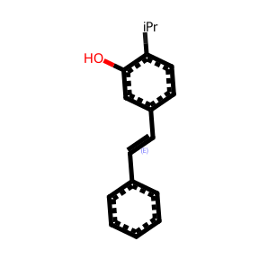 CC(C)c1ccc(/C=C/c2ccccc2)cc1O